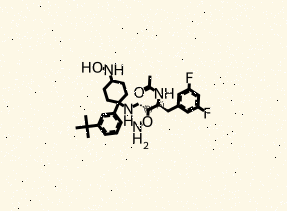 CC(=O)N[C@@H](Cc1cc(F)cc(F)c1)[C@@H](CNC1(c2cccc(C(C)(C)C)c2)CCC(NO)CC1)ON